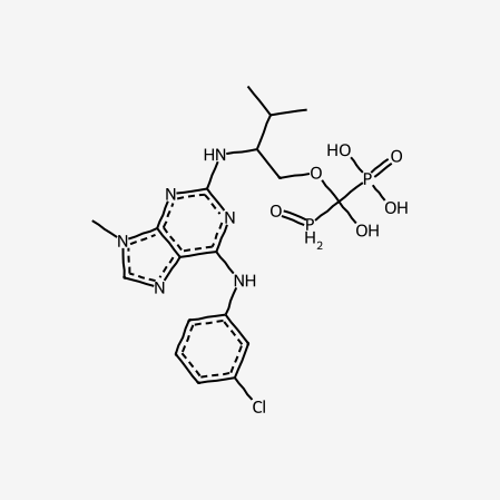 CC(C)C(COC(O)([PH2]=O)P(=O)(O)O)Nc1nc(Nc2cccc(Cl)c2)c2ncn(C)c2n1